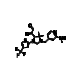 CNc1cc(CN2CN(c3cc(C(F)(F)F)cs3)C(C(=O)C=O)C2(C)C)ccn1